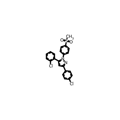 CS(=O)(=O)c1ccc(-n2nc(-c3ccc(Cl)cc3)cc2-c2ccccc2Cl)cc1